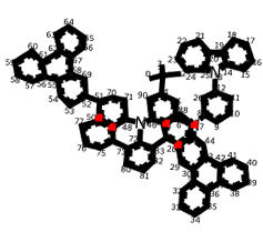 CC(C)(C)c1cc(N(c2cccc(-n3c4ccccc4c4ccccc43)c2)c2ccc3c4ccccc4c4ccccc4c3c2)cc(N(c2ccc(-c3ccc4c5ccccc5c5ccccc5c4c3)cc2)c2c(-c3ccccc3)cccc2-c2ccccc2)c1